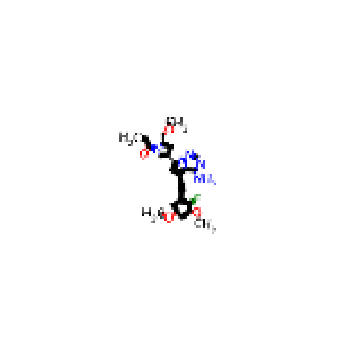 C=CC(=O)N1C[C@H](c2cc(C#Cc3cc(OC)cc(OC)c3F)c3c(N)ncnn23)C[C@@H]1COC